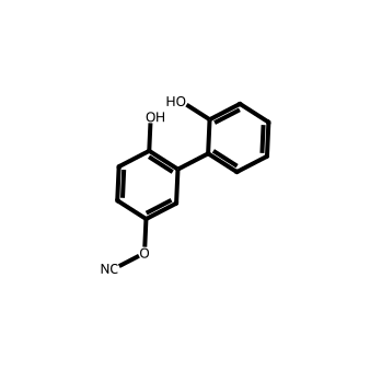 N#COc1ccc(O)c(-c2ccccc2O)c1